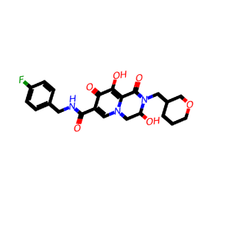 O=C(NCc1ccc(F)cc1)c1cn2c(c(O)c1=O)C(=O)N(CC1CCCOC1)C(O)C2